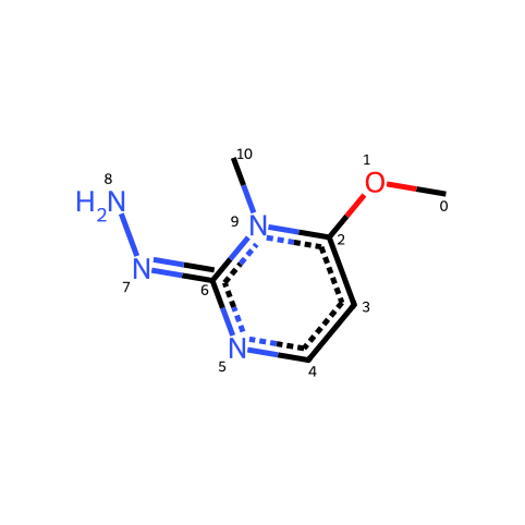 COc1ccnc(=NN)n1C